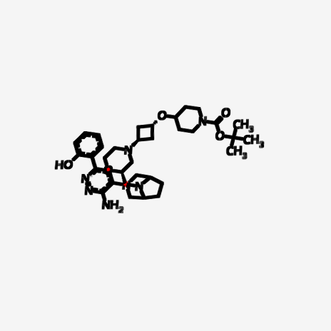 CC(C)(C)OC(=O)N1CCC(O[C@H]2C[C@H](N3CCO[C@H](CN4C5CCC4CN(c4cc(-c6ccccc6O)nnc4N)C5)C3)C2)CC1